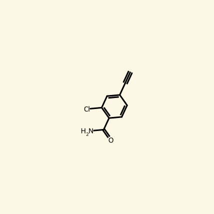 C#Cc1ccc(C(N)=O)c(Cl)c1